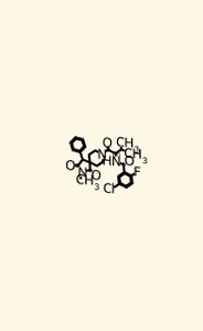 CC(C)[C@@H](NC(=O)c1cc(Cl)ccc1F)C(=O)N1CCC2(CC1)C(=O)N(C)C(=O)C2c1ccccc1